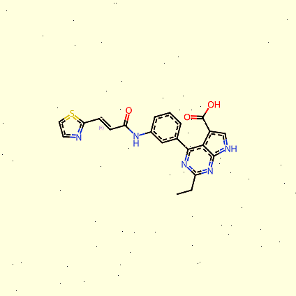 CCc1nc(-c2cccc(NC(=O)/C=C/c3nccs3)c2)c2c(C(=O)O)c[nH]c2n1